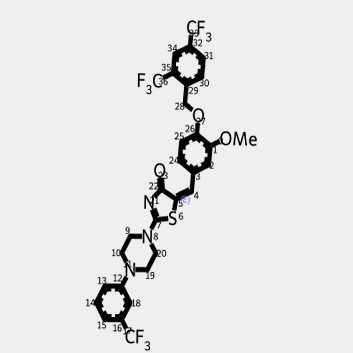 COc1cc(/C=C2/SC(N3CCN(c4cccc(C(F)(F)F)c4)CC3)=NC2=O)ccc1OCc1ccc(C(F)(F)F)cc1C(F)(F)F